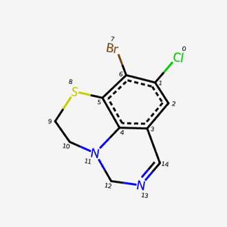 Clc1cc2c3c(c1Br)SCCN3CN=C2